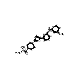 CON(C)C(=O)[C@H]1CC[C@H](c2ncc(-c3cccc(Nc4cc(C)ccn4)n3)s2)CC1